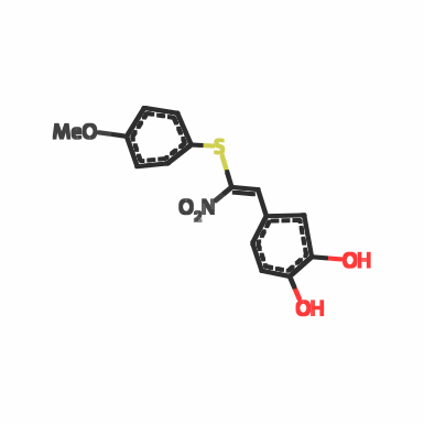 COc1ccc(S/C(=C/c2ccc(O)c(O)c2)[N+](=O)[O-])cc1